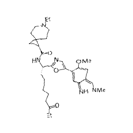 CCC(=O)CCCCC[C@H](NC(=O)[C@H]1CC12CCN(CC)CC2)c1ncc(C2=CC(=N)/C(=C\NC)C=C2OC)o1